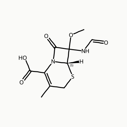 COC1(NC=O)C(=O)N2C(C(=O)O)=C(C)CS[C@H]21